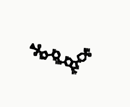 CC(C)n1nc(N2CCS(=N)(=O)CC2)c2cnc(Nc3ccnc(-c4cnn(S(=O)(=O)C5CC5)c4)n3)cc21